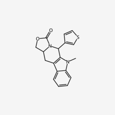 Cn1c2c(c3ccccc31)CC1COC(=O)N1C2c1ccsc1